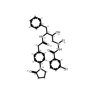 CCc1cccc(C(=O)NN(CC)CC(O)C(Cc2ccccc2)NC(=O)Cc2ccc(N3CCCC3=O)cc2)c1